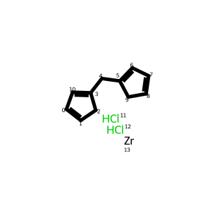 C1=CCC(CC2=CC=CC2)=C1.Cl.Cl.[Zr]